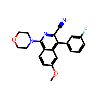 COc1ccc2c(N3CCOCC3)nc(C#N)c(-c3cccc(F)c3)c2c1